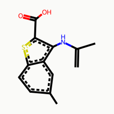 C=C(C)Nc1c(C(=O)O)sc2ccc(C)cc12